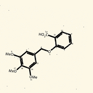 COc1cc(COc2ccccc2C(=O)O)cc(OC)c1OC